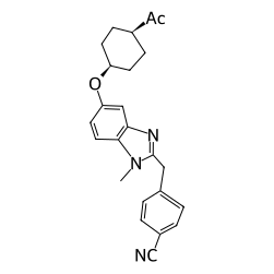 CC(=O)[C@H]1CC[C@@H](Oc2ccc3c(c2)nc(Cc2ccc(C#N)cc2)n3C)CC1